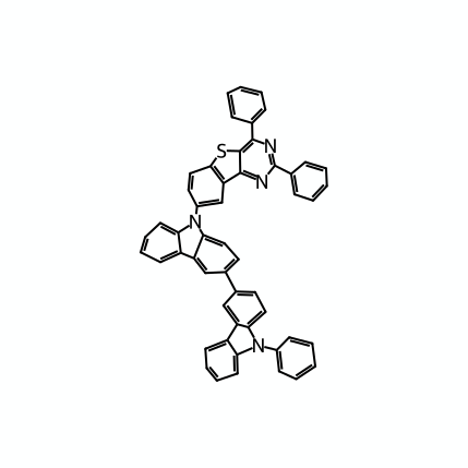 c1ccc(-c2nc(-c3ccccc3)c3sc4ccc(-n5c6ccccc6c6cc(-c7ccc8c(c7)c7ccccc7n8-c7ccccc7)ccc65)cc4c3n2)cc1